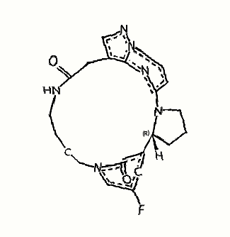 O=C1Cc2cnn3ccc(nc23)N2CCC[C@@H]2c2cc(F)cn(c2=O)CCCCN1